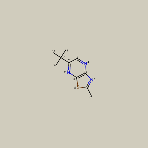 Cc1nc2ncc(C(C)(C)C)nc2s1